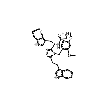 COc1ccc(Cn2c(CCc3c[nH]c4ccccc34)nnc2[C@@H](Cc2c[nH]c3ccccc23)NC(=O)CN)c(OC)c1